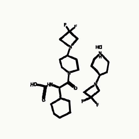 Cl.FC1(F)CN(C2CCNCC2)C1.O=C(O)NC(C(=O)N1CCC(N2CC(F)(F)C2)CC1)C1CCCCC1